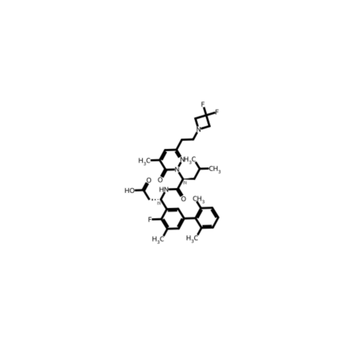 Cc1cc(-c2c(C)cccc2C)cc([C@H](CC(=O)O)NC(=O)[C@H](CC(C)C)n2nc(CCN3CC(F)(F)C3)cc(C)c2=O)c1F